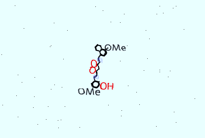 COc1ccc(/C=C/C(=O)CC(=O)/C=C/c2ccc(OC)c3ccccc23)cc1O